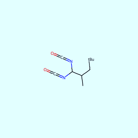 CC(CC(C)(C)C)C(N=C=O)N=C=O